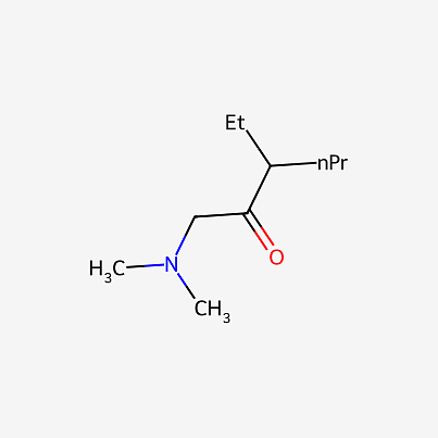 CCCC(CC)C(=O)CN(C)C